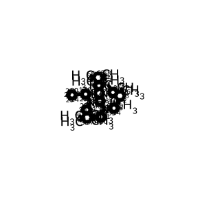 Cc1cc2c(cc1N1c3cc4c(cc3B3c5ccc(-c6ccccc6)cc5N(c5ccc6c(c5)C(C)(C)CCC6(C)C)c5cc(N(c6ccccc6)c6ccccc6)cc1c53)C(C)(C)CCC4(C)C)C(C)(C)CCC2(C)C